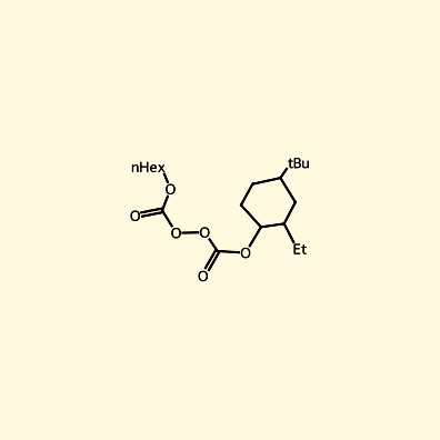 CCCCCCOC(=O)OOC(=O)OC1CCC(C(C)(C)C)CC1CC